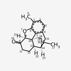 Cc1ccc2c3c1O[C@@H]1C(=O)CC[C@@H]4[C@H](C2)N(C)CC[C@@]314